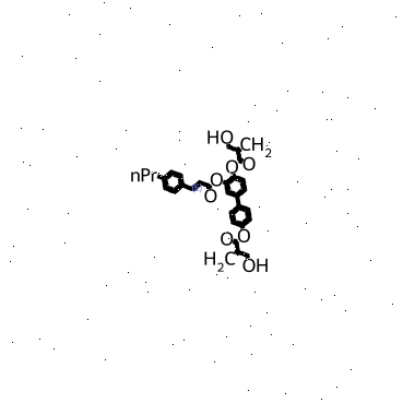 C=C(CO)C(=O)Oc1ccc(-c2ccc(OC(=O)C(=C)CO)c(OC(=O)/C=C/c3ccc(CCC)cc3)c2)cc1